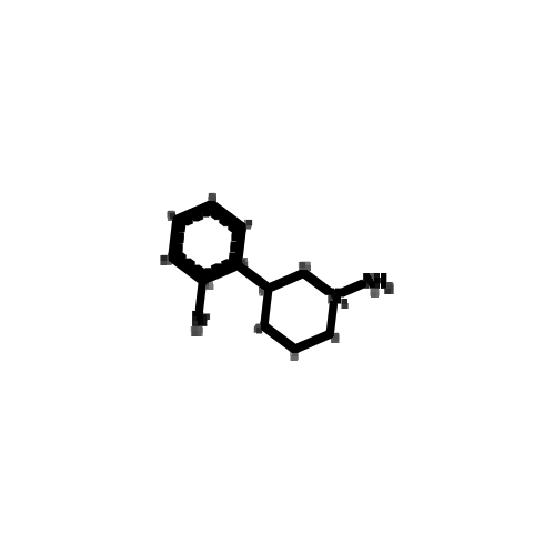 NN1CCCC(c2ccccc2Br)C1